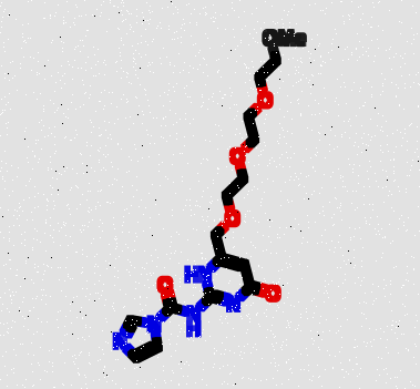 COCCOCCOCCOCc1cc(=O)nc(NC(=O)n2ccnc2)[nH]1